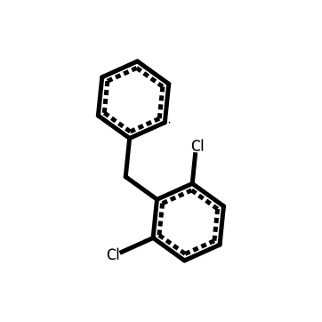 Clc1cccc(Cl)c1Cc1[c]cccc1